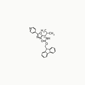 CC(C)[C@H](NC(=O)OCC1c2ccccc2-c2ccccc21)c1nnc(-c2ccncc2)o1